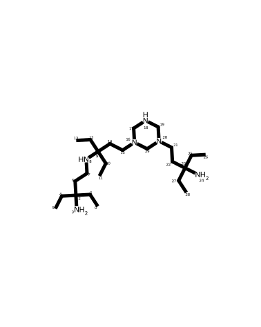 CCC(N)(CC)CCNC(CC)(CC)CCN1CNCN(CCC(N)(CC)CC)C1